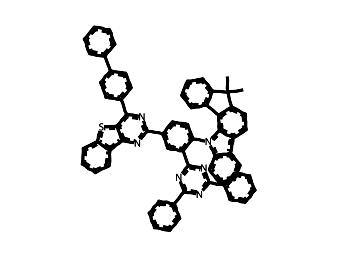 CC1(C)c2ccccc2-c2c1ccc1c3ccccc3n(-c3ccc(-c4nc(-c5ccc(-c6ccccc6)cc5)c5sc6ccccc6c5n4)cc3-c3nc(-c4ccccc4)nc(-c4ccccc4)n3)c21